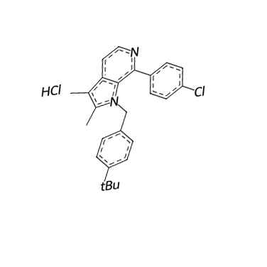 Cc1c(C)n(Cc2ccc(C(C)(C)C)cc2)c2c(-c3ccc(Cl)cc3)nccc12.Cl